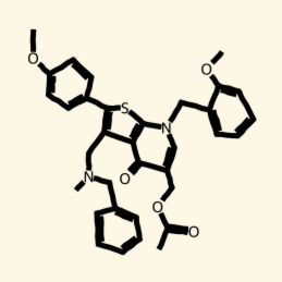 COc1ccc(-c2sc3c(c2CN(C)Cc2ccccc2)c(=O)c(COC(C)=O)cn3Cc2ccccc2OC)cc1